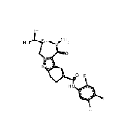 CC[C@H](O)[C@@H]1CN(C)C(=O)c2c3c(nn2C1)CCN(C(=O)Nc1cc(Cl)c(F)cc1F)C3